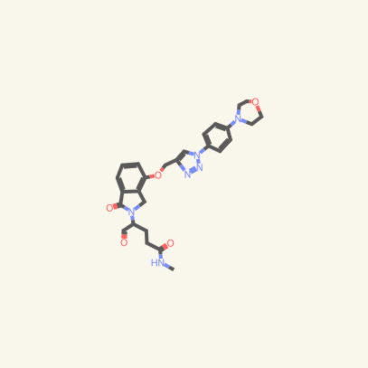 CNC(=O)CCC(C=O)N1Cc2c(OCc3cn(-c4ccc(N5CCOCC5)cc4)nn3)cccc2C1=O